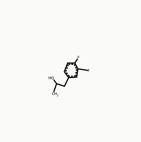 [CH2]C(O)Cc1ccc(F)c(F)c1